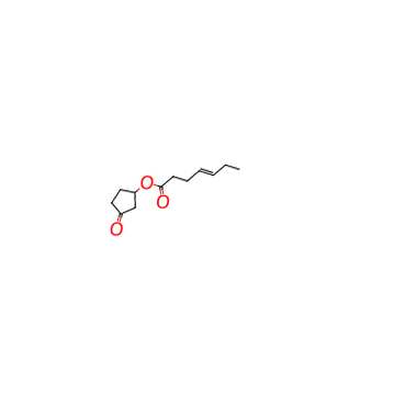 CCC=CCCC(=O)OC1CCC(=O)C1